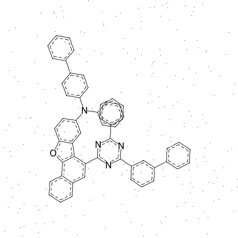 c1ccc(-c2ccc(N(c3ccccc3)c3ccc4oc5c6ccccc6cc(-c6nc(-c7ccccc7)nc(-c7cccc(-c8ccccc8)c7)n6)c5c4c3)cc2)cc1